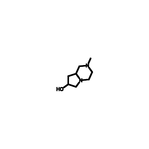 CN1CCN2CC(O)CC2C1